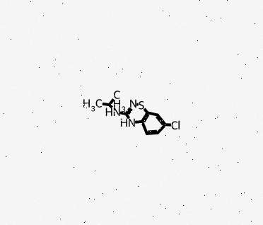 CC(C)NC1=NSc2cc(Cl)ccc2N1